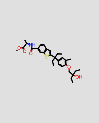 CCC(O)(CC)COc1ccc(C(CC)(CC)c2cc3ccc(C(=O)NC(C)C(=O)OC)cc3s2)cc1C